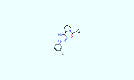 N=C(/N=N\Nc1cccc(Cl)c1)C1CCCN1C(=O)C1CC1